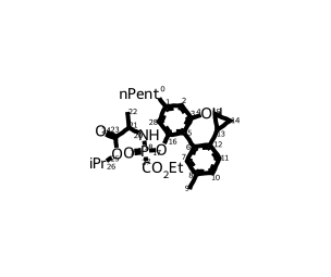 CCCCCc1cc(O)c(-c2cc(C)ccc2C2CC2)c(OP(=O)(NC(C)C(=O)OC(C)C)C(=O)OCC)c1